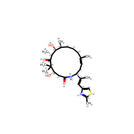 C/C1=C/C[C@@H](/C(C)=C/c2csc(C)n2)NC(=O)C[C@H](O)C(C)(C)C(=O)[C@H](C)[C@@H](O)[C@@H](C)CCC1